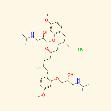 COc1ccc(C[C@H](C)CCC(=O)CC[C@@H](C)Cc2ccc(OC)cc2OC[C@H](O)CNC(C)C)c(OC[C@H](O)CNC(C)C)c1.Cl